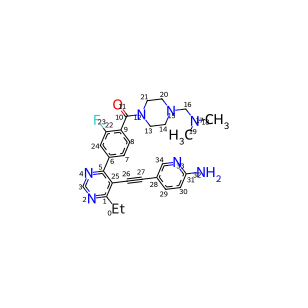 CCc1ncnc(-c2ccc(C(=O)N3CCN(CN(C)C)CC3)c(F)c2)c1C#Cc1ccc(N)nc1